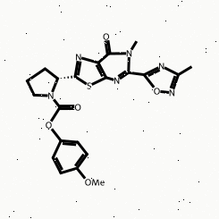 COc1ccc(OC(=O)N2CCC[C@@H]2c2nc3c(=O)n(C)c(-c4nc(C)no4)nc3s2)cc1